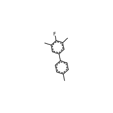 Cc1ccc(-c2cc(C)c(F)c(C)c2)cc1